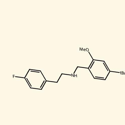 COc1cc(C(C)(C)C)ccc1CNCCc1ccc(F)cc1